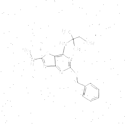 CC(C)(C)Nc1nc2nc(SCc3ccccc3)nc(NC(C)(C)CO)c2s1